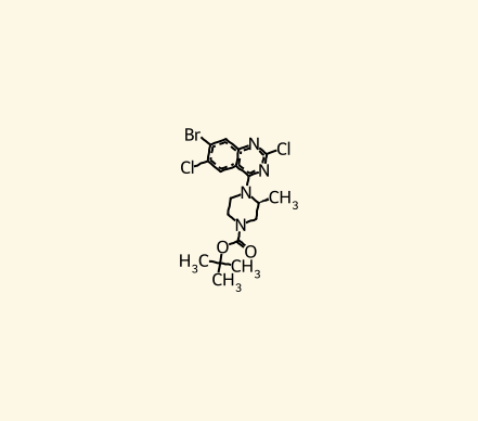 C[C@H]1CN(C(=O)OC(C)(C)C)CCN1c1nc(Cl)nc2cc(Br)c(Cl)cc12